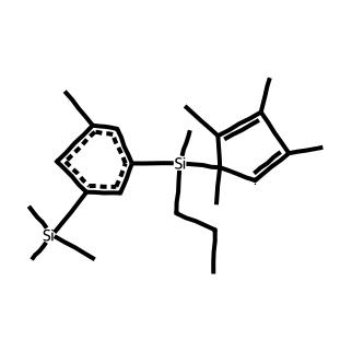 CCC[Si](C)(c1cc(C)cc([Si](C)(C)C)c1)C1(C)[C]=C(C)C(C)=C1C